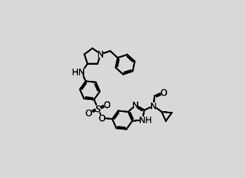 O=CN(c1nc2cc(OS(=O)(=O)c3ccc(NC4CCN(Cc5ccccc5)C4)cc3)ccc2[nH]1)C1CC1